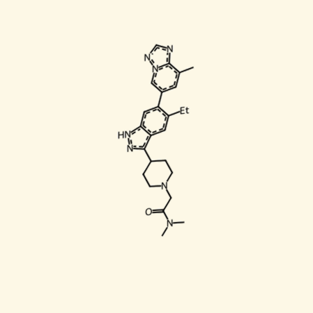 CCc1cc2c(C3CCN(CC(=O)N(C)C)CC3)n[nH]c2cc1-c1cc(C)c2ncnn2c1